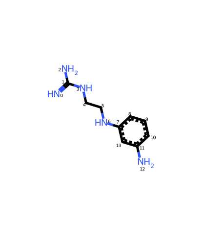 N=C(N)NCCNc1cccc(N)c1